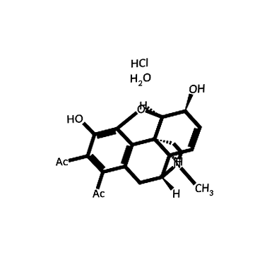 CC(=O)c1c(O)c2c3c(c1C(C)=O)C[C@@H]1[C@@H]4C=C[C@H](O)[C@H](O2)[C@]34CCN1C.Cl.O